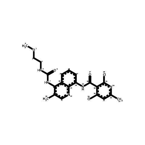 COCCNC(=O)Nc1c(C)cnc2c(NC(=O)c3c(Cl)cc(C)nc3Cl)cccc12